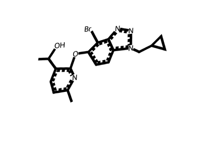 Cc1ccc(C(C)O)c(Oc2ccc3c(nnn3CC3CC3)c2Br)n1